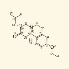 CCOc1ccc2c(c1)CCN1C[C@@H](CC(C)C)C(=O)C[C@H]21